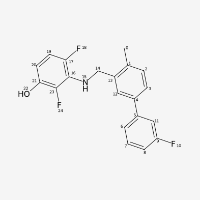 Cc1ccc(-c2cccc(F)c2)cc1CNc1c(F)ccc(O)c1F